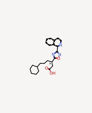 O=C(O)C[C@@H](CCCC1CCCCC1)c1nc(-c2nccc3ccccc23)no1